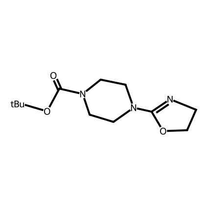 CC(C)(C)OC(=O)N1CCN(C2=NCCO2)CC1